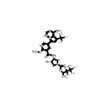 COc1ncc(-c2cc(C(F)(F)F)c3c(N)ncnn23)cc1C(=O)N[C@@H]1CN(C(=O)OC(C)C(F)(F)C(F)(F)F)C[C@@H]1F